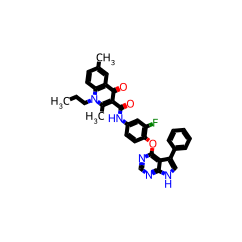 CCCn1c(C)c(C(=O)Nc2ccc(Oc3ncnc4[nH]cc(-c5ccccc5)c34)c(F)c2)c(=O)c2cc(C)ccc21